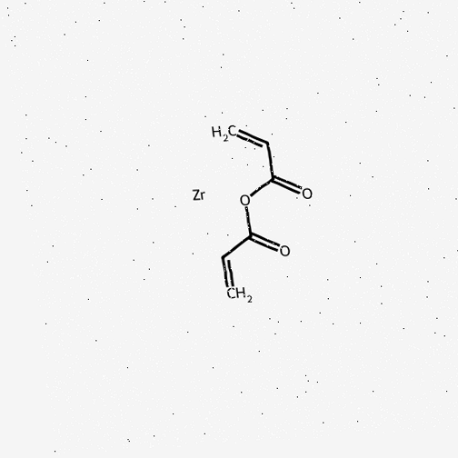 C=CC(=O)OC(=O)C=C.[Zr]